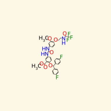 COC(=O)c1cc(NC(=O)Nc2ccc(OCCNC(=O)C(F)(F)F)c(OC)c2)ccc1OC(c1ccc(F)cc1)c1ccc(F)cc1